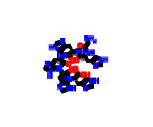 NCC(=O)N[C@@H](Cc1c[nH]cn1)C(=O)N[C@@H](Cc1c[nH]cn1)C(=O)N[C@@H](Cc1c[nH]cn1)C(=O)N[C@@H](Cc1c[nH]cn1)C(=O)N[C@@H](Cc1c[nH]cn1)C(=O)O